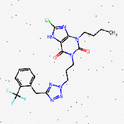 CCCCn1c(=O)n(CCCn2nnc(Cc3ccccc3C(F)(F)F)n2)c(=O)c2[nH]c(Cl)nc21